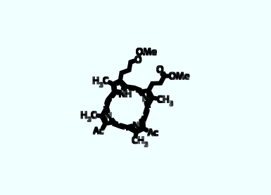 COOCCCc1c(C)c2cc3nc(cc4[nH]c(cc5nc(cc1[nH]2)C(CCC(=O)OC)=C5C)c(C(C)=O)c4C)C(C(C)=O)=C3C